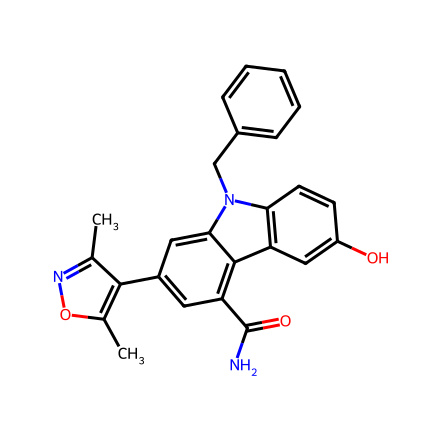 Cc1noc(C)c1-c1cc(C(N)=O)c2c3cc(O)ccc3n(Cc3ccccc3)c2c1